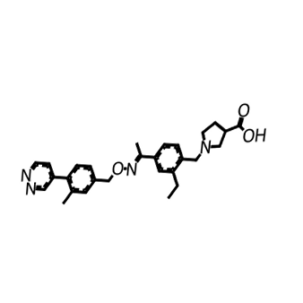 CCc1cc(C(C)=NOCc2ccc(-c3ccnnc3)c(C)c2)ccc1CN1CCC(C(=O)O)C1